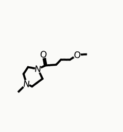 COCCCC(=O)N1CCN(C)CC1